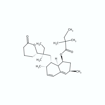 CCC(C)(C)C(=O)O[C@H]1C[C@@H](C)C=C2C=C[C@H](C)[C@H](C[C@](C)(CC)[C@@H]3CCCC(=O)O3)[C@H]21